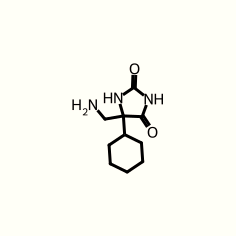 NCC1(C2CCCCC2)NC(=O)NC1=O